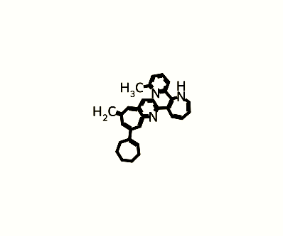 C=C1C=C(C2=CCCCCC2)C=c2nc(C3=C(c4cccc(C)n4)NC=CC=C3)ccc2=C1